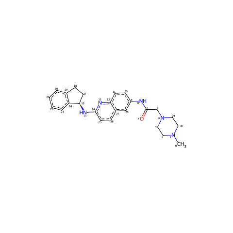 CN1CCN(CC(=O)Nc2ccc3nc(N[C@@H]4CCc5ccccc54)ccc3c2)CC1